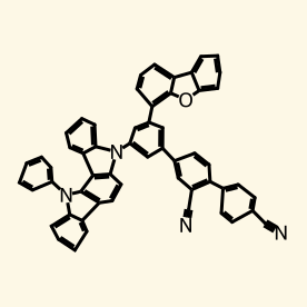 N#Cc1ccc(-c2ccc(-c3cc(-c4cccc5c4oc4ccccc45)cc(-n4c5ccccc5c5c4ccc4c6ccccc6n(-c6ccccc6)c45)c3)cc2C#N)cc1